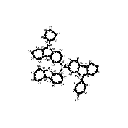 Fc1ccc(-n2c3ccccc3c3ccc(N(c4ccc5c(c4)c4ccccc4n5-c4ccccc4)c4cccc5c4sc4ccccc45)cc32)cc1